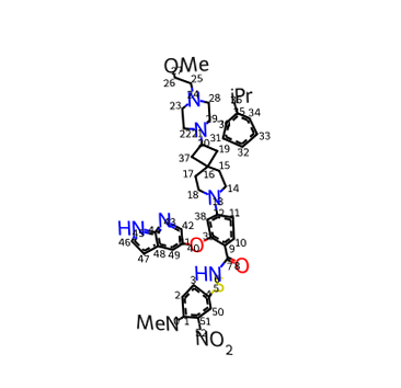 CNc1ccc(SNC(=O)c2ccc(N3CCC4(CC3)CC(N3CCN(CCOC)C[C@@H]3c3ccccc3C(C)C)C4)cc2Oc2cnc3[nH]ccc3c2)cc1[N+](=O)[O-]